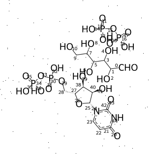 O=CC(O)C(O)C(O)C(O)CO.O=P(O)(O)OP(=O)(O)O.O=c1ccn([C@@H]2O[C@H](COP(=O)(O)OP(=O)(O)O)[C@@H](O)[C@H]2O)c(=O)[nH]1